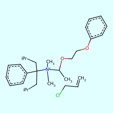 C=CCCl.CC(C)CC(CC(C)C)(c1ccccc1)[N+](C)(C)C(C)OCCOc1ccccc1